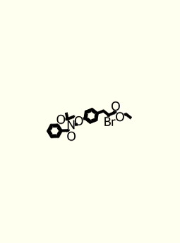 CCOC(=O)C(Br)Cc1ccc(OCC2(C)Oc3ccccc3C(=O)N2C)cc1